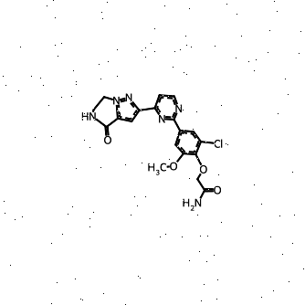 COc1cc(-c2nccc(-c3cc4n(n3)CCNC4=O)n2)cc(Cl)c1OCC(N)=O